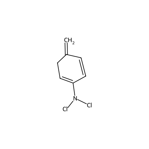 C=C1C=CC(N(Cl)Cl)=CC1